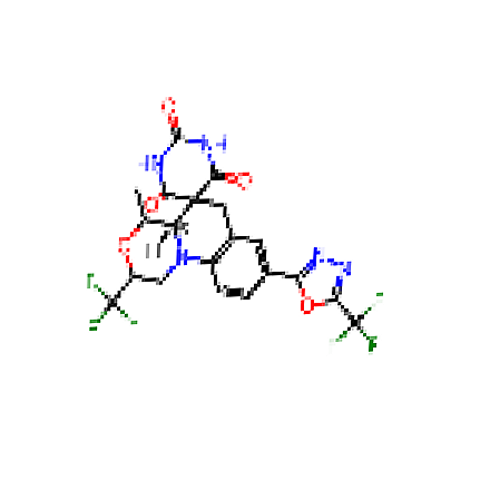 CC1OC(C(F)(F)F)CN2c3ccc(-c4nnc(C(F)(F)F)o4)cc3CC3(C(=O)NC(=O)NC3=O)[C@@H]12